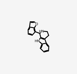 c1cc(C2NCCc3c2[nH]c2ccccc32)c2occc2c1